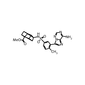 COC(=O)C12C3C4C1C1C2C3C41NS(=O)(=O)c1ccc(C)c(-c2cnc3c(N)ncnn23)c1